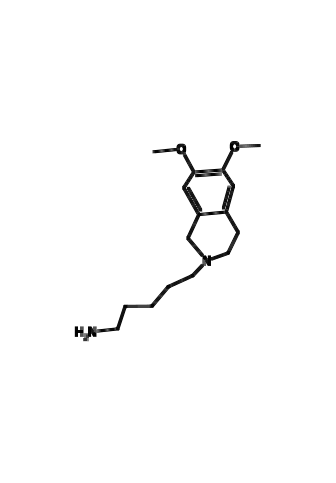 COc1cc2c(cc1OC)CN(CCCCCN)CC2